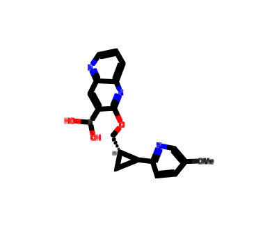 COc1ccc(C2C[C@@H]2COc2nc3cccnc3cc2B(O)O)nc1